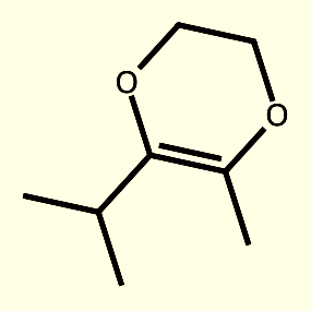 CC1=C(C(C)C)OCCO1